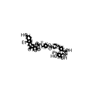 CCc1c2c(nc3ccc(O)cc13)-c1cc3c(c(=O)n1C2)COC(=O)C3(CC)OC(=O)N(C)Cc1ccc(OC(=O)N2CCN(Cc3ccc(-n4c(O)nnc4-c4cc(C(C)C)c(O)cc4O)cc3)CC2)cc1